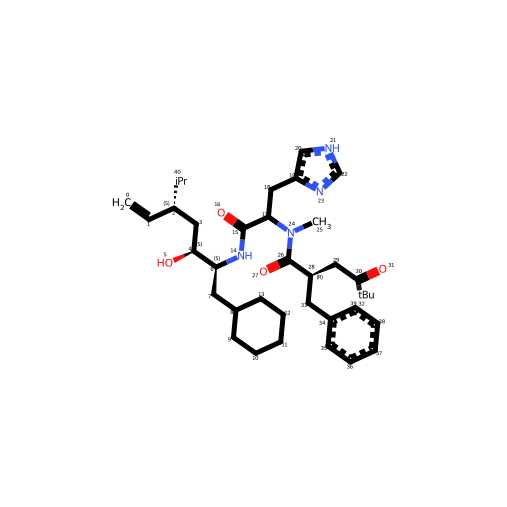 C=C[C@@H](C[C@H](O)[C@H](CC1CCCCC1)NC(=O)C(Cc1c[nH]cn1)N(C)C(=O)[C@@H](CC(=O)C(C)(C)C)Cc1ccccc1)C(C)C